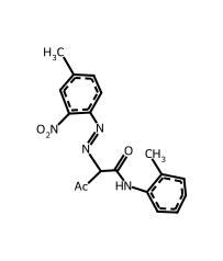 CC(=O)C(N=Nc1ccc(C)cc1[N+](=O)[O-])C(=O)Nc1ccccc1C